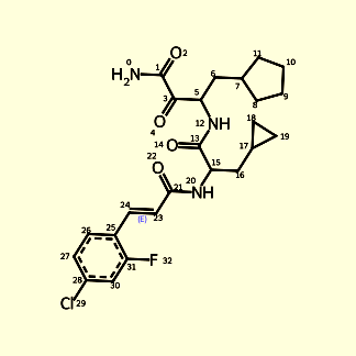 NC(=O)C(=O)C(CC1CCCC1)NC(=O)C(CC1CC1)NC(=O)/C=C/c1ccc(Cl)cc1F